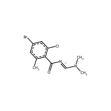 Cc1cc(Br)cc(Cl)c1C(=O)/N=C/N(C)C